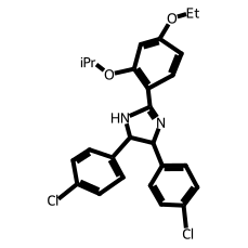 CCOc1ccc(C2=NC(c3ccc(Cl)cc3)C(c3ccc(Cl)cc3)N2)c(OC(C)C)c1